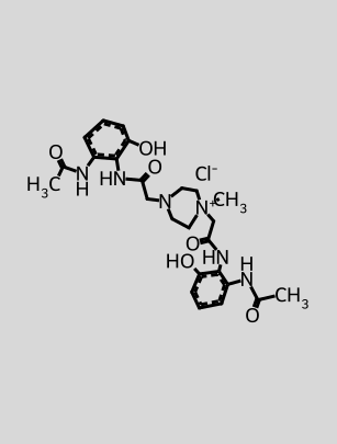 CC(=O)Nc1cccc(O)c1NC(=O)CN1CC[N+](C)(CC(=O)Nc2c(O)cccc2NC(C)=O)CC1.[Cl-]